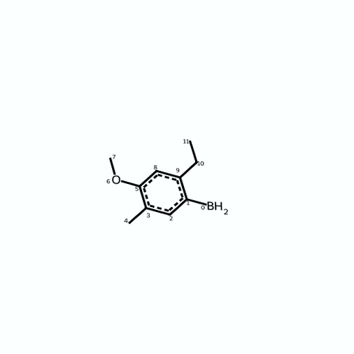 Bc1cc(C)c(OC)cc1CC